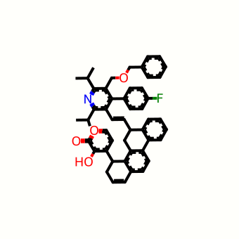 CC(C)c1nc(C(C)C)c(COCc2ccccc2)c(-c2ccc(F)cc2)c1C=CC1Cc2c(ccc3c2C(c2ccoc(=O)c2O)CC=C3)-c2ccccc21